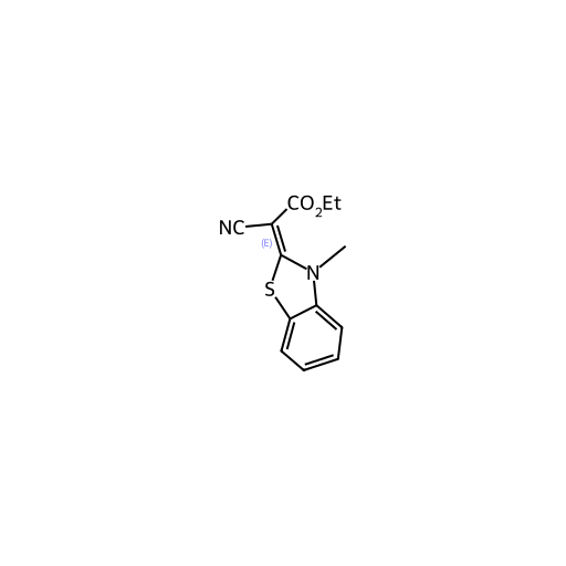 CCOC(=O)/C(C#N)=C1/Sc2ccccc2N1C